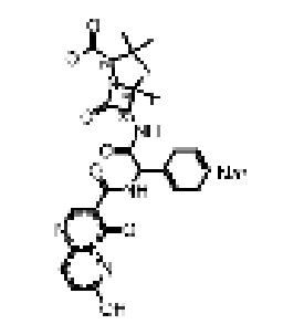 CC1(C)S[C@@H]2[C@H](NC(=O)C(NC(=O)c3cnc4ccc(O)nn4c3=O)C3=CCC=CC3)C(=O)N2[C@H]1C(=O)[O-].[Na+]